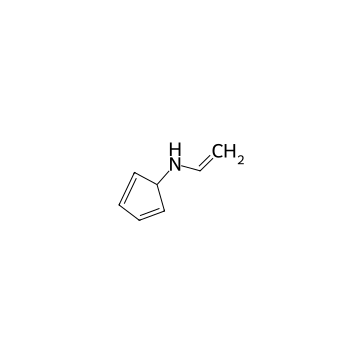 C=CNC1C=CC=C1